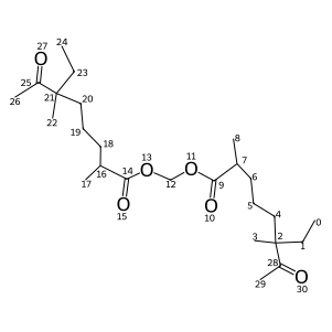 CCC(C)(CCCC(C)C(=O)OCOC(=O)C(C)CCCC(C)(CC)C(C)=O)C(C)=O